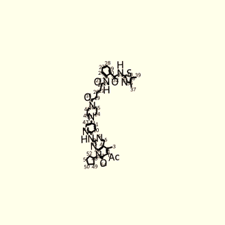 CC(=O)c1c(C)c2cnc(Nc3ccc(N4CCN(C(=O)CCCC(=O)Nc5ccccc5C(=O)Nc5nc(C)c(C)s5)CC4)cn3)nc2n(C2CCCC2)c1=O